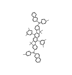 Cc1ccc(N(c2ccc3c(c2)C(C)(C)c2cc4c(-c5cc(C)cc(C)c5)c5c(cc4c(-c4cc(C)cc(C)c4)c2-3)C(C)(C)c2cc(N(c3ccc(C)cc3)c3ccc4ccccc4c3)ccc2-5)c2ccc3ccccc3c2)cc1